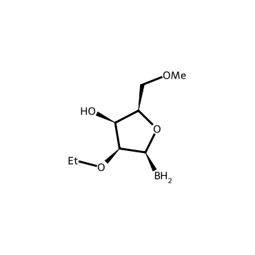 B[C@@H]1O[C@H](COC)[C@H](O)[C@@H]1OCC